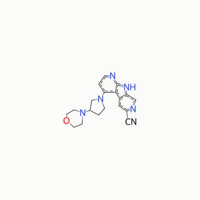 N#Cc1cc2c(cn1)[nH]c1nccc(N3CCC(N4CCOCC4)C3)c12